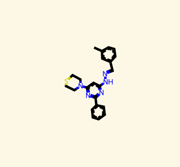 Cc1cccc(C=NNc2cc(N3CCSCC3)nc(-c3ccccc3)n2)c1